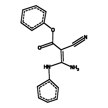 N#CC(C(=O)Oc1ccccc1)=C(N)Nc1ccccc1